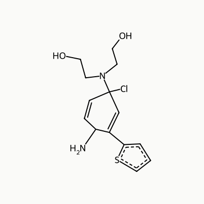 NC1C=CC(Cl)(N(CCO)CCO)C=C1c1cccs1